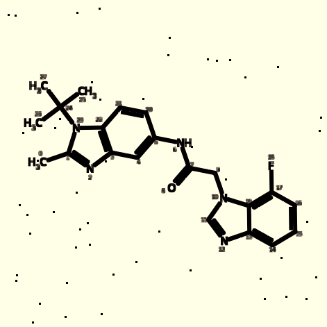 Cc1nc2cc(NC(=O)Cn3cnc4cccc(F)c43)ccc2n1C(C)(C)C